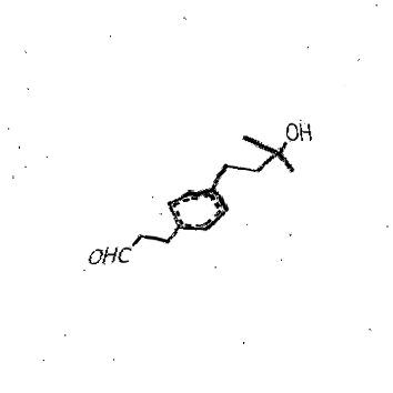 CC(C)(O)CCc1ccc(CCC=O)cc1